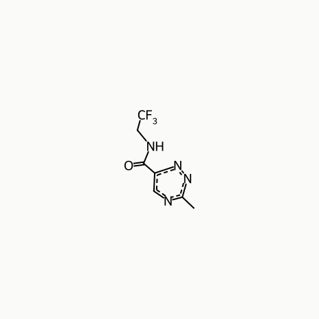 Cc1ncc(C(=O)NCC(F)(F)F)nn1